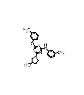 OC1CCN(c2nc(Nc3cccc(C(F)(F)F)c3)nc(Oc3cccc(C(F)(F)F)c3)n2)C1